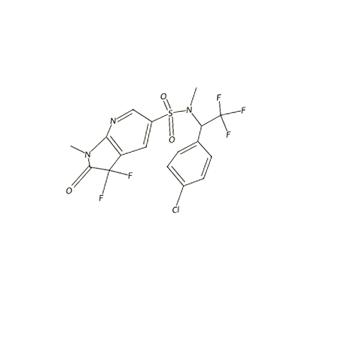 CN1C(=O)C(F)(F)c2cc(S(=O)(=O)N(C)C(c3ccc(Cl)cc3)C(F)(F)F)cnc21